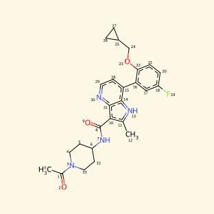 CC(=O)N1CCC(NC(=O)c2c(C)[nH]c3c(-c4cc(F)ccc4OCC4CC4)ccnc23)CC1